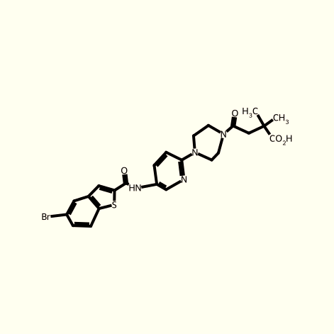 CC(C)(CC(=O)N1CCN(c2ccc(NC(=O)c3cc4cc(Br)ccc4s3)cn2)CC1)C(=O)O